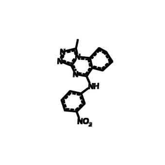 Cc1nnc2nc(Nc3cccc([N+](=O)[O-])c3)c3ccccc3n12